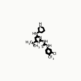 CN(C)c1cc(NC2CCCNC2)nc(NC(=S)Nc2ccc(C(F)(F)F)c(Cl)c2)n1